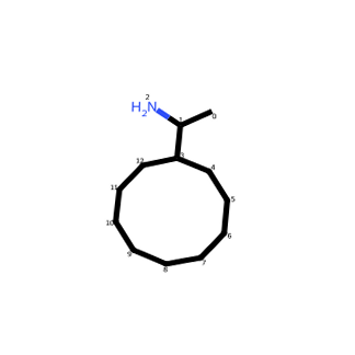 CC(N)C1CCCCCCCCC1